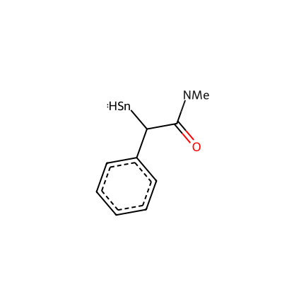 CNC(=O)[CH]([SnH])c1ccccc1